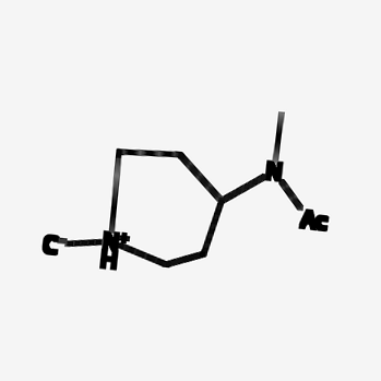 [CH2-][NH+]1CCC(N(C)C(C)=O)CC1